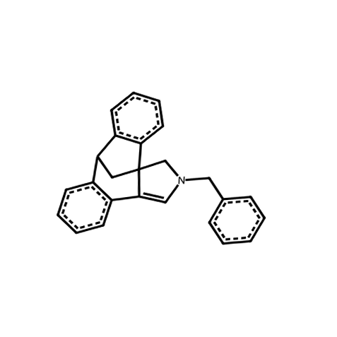 C1=C2c3ccccc3C3CC2(CN1Cc1ccccc1)c1ccccc13